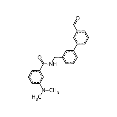 CN(C)c1cccc(C(=O)NCc2cccc(-c3cccc(C=O)c3)c2)c1